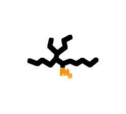 CCCCCC(P)C(CCCC)C(CC)CCC